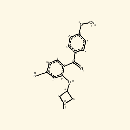 COc1ccc(C(=O)c2ccc(Br)cc2OC2CNC2)cc1